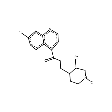 CC[C@H]1CN(Cl)CCC1CCC(=O)c1ccnc2cc(Cl)ccc12